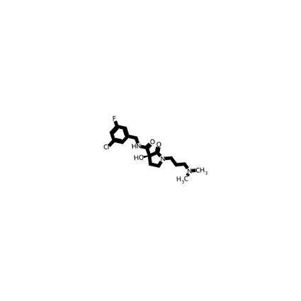 CN(C)CCCN1CC[C@](O)(C(=O)NCc2cc(F)cc(Cl)c2)C1=O